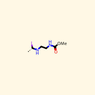 COC(=O)NCCN[C@H](C)I